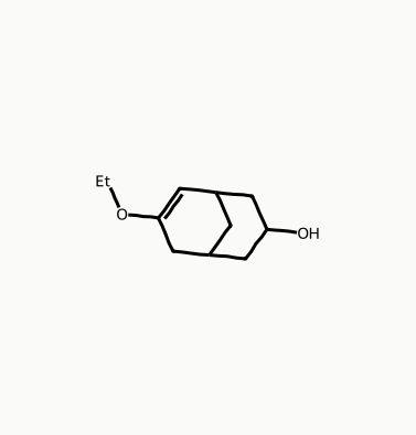 CCOC1=CC2CC(O)CC(C1)C2